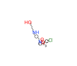 CN(CCC1CCC(CNCCCCCCO)CC1)C(=O)Oc1ccc(Cl)cc1